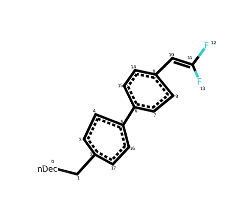 CCCCCCCCCCCc1ccc(-c2ccc(C=C(F)F)cc2)cc1